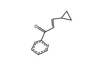 O=C(C=CC1CC1)c1ccccn1